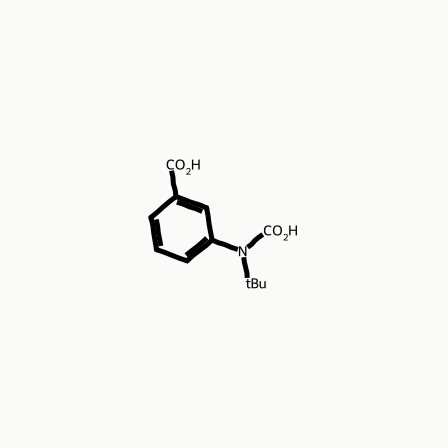 CC(C)(C)N(C(=O)O)c1cccc(C(=O)O)c1